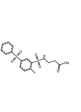 Cc1ccc(S(=O)(=O)c2ccccc2)cc1S(=O)(=O)NCCC(=O)O